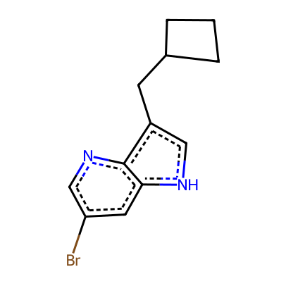 Brc1cnc2c(CC3CCC3)c[nH]c2c1